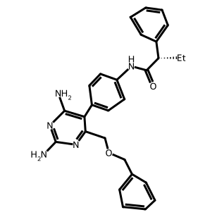 CC[C@H](C(=O)Nc1ccc(-c2c(N)nc(N)nc2COCc2ccccc2)cc1)c1ccccc1